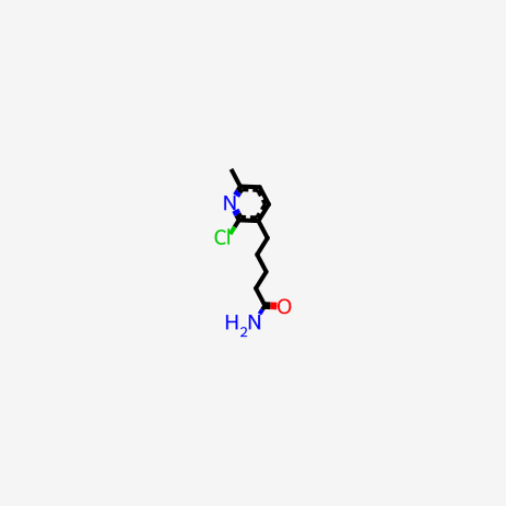 Cc1ccc(CCCCC(N)=O)c(Cl)n1